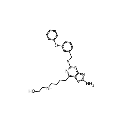 Nc1nc2nc(SCc3cccc(Oc4ccccc4)c3)nc(CCCCNCCO)c2s1